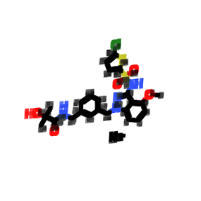 COc1cccc2c1c(NS(=O)(=O)c1ccc(Cl)s1)nn2Cc1cccc(CNC(=O)C(C)(C)O)c1.[Na]